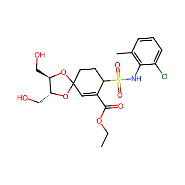 CCOC(=O)C1=CC2(CCC1S(=O)(=O)Nc1c(C)cccc1Cl)O[C@H](CO)[C@@H](CO)O2